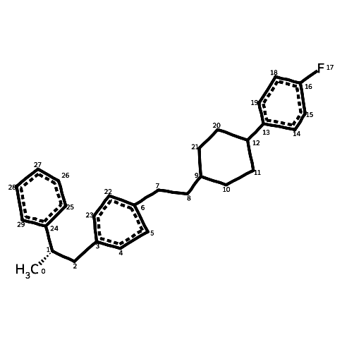 C[C@@H](Cc1ccc(CCC2CCC(c3ccc(F)cc3)CC2)cc1)c1ccccc1